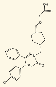 O=C(O)COC[C@H]1CC[C@H](Cn2nc(-c3ccccc3)c(-c3ccc(Cl)cc3)cc2=O)CC1